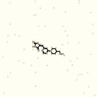 NCC1CCN(c2cc(/C=C3/SC(=O)NC3=O)ncn2)CC1